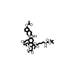 CCC1(OC(=O)CCCNC(=O)OC(C)(C)C)C2=C(COC1CC(=O)[Si](C)(C)C)C(CC(=O)[Si](C)(C)C)C1=C(C2)NC2=Cc3cc(OC(C)=O)ccc3CN21